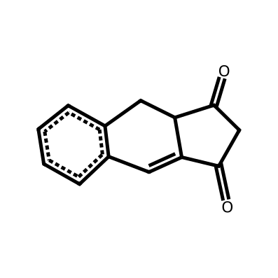 O=C1CC(=O)C2Cc3ccccc3C=C12